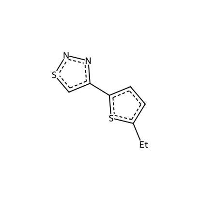 CCc1ccc(-c2csnn2)s1